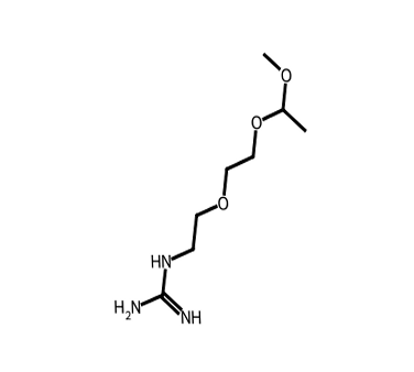 COC(C)OCCOCCNC(=N)N